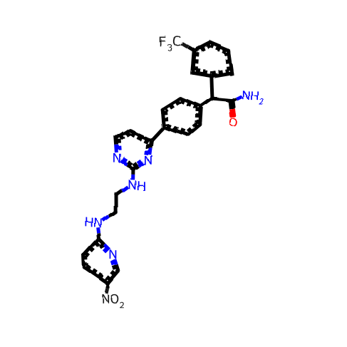 NC(=O)C(c1ccc(-c2ccnc(NCCNc3ccc([N+](=O)[O-])cn3)n2)cc1)c1cccc(C(F)(F)F)c1